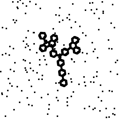 C1=CC(c2cc3ccccc3c3c2c2ccccc2n3-c2ccccc2)=CC(N(c2ccc(-c3ccc(-c4ccccc4)cc3)cc2)c2ccc(-c3cc4ccccc4c4ccccc34)cc2)C1